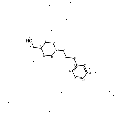 OCC1CCN(CCCc2ccccc2)CC1